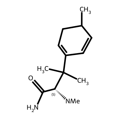 CN[C@H](C(N)=O)C(C)(C)C1=CCC(C)C=C1